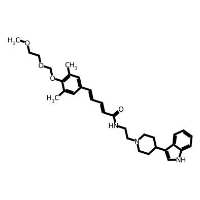 COCCOCOc1c(C)cc(/C=C/C=C/C(=O)NCCN2CCC(c3c[nH]c4ccccc34)CC2)cc1C